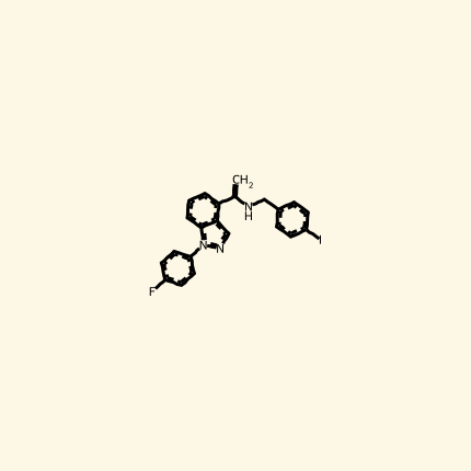 C=C(NCc1ccc(I)cc1)c1cccc2c1cnn2-c1ccc(F)cc1